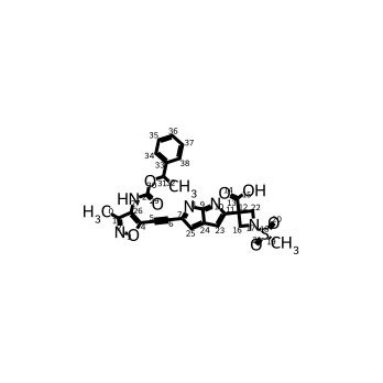 Cc1noc(C#CC2=NC3=NC(C4(C(=O)O)CN(S(C)(=O)=O)C4)=CC3=C2)c1NC(=O)OC(C)c1ccccc1